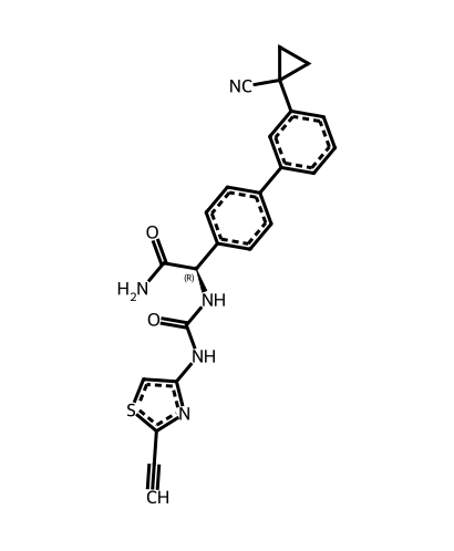 C#Cc1nc(NC(=O)N[C@@H](C(N)=O)c2ccc(-c3cccc(C4(C#N)CC4)c3)cc2)cs1